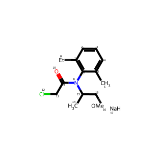 CCc1cccc(C)c1N(C(=O)CCl)C(C)COC.[NaH]